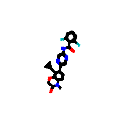 CN1C(=O)COc2c1ccc(-c1cnc(NC(=O)c3c(F)cccc3F)cn1)c2C1CC1